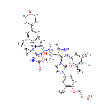 Cc1cc(-n2ccn(-c3c4c(nn3-c3cc(C)c(F)c(C)c3)CCN(C(O)c3cc5cc(C6CCOCC6)ccc5n3[C@@]3(c5noc(=O)[nH]5)C[C@@H]3C)[C@H]4C)c2=O)ccc1OCCO